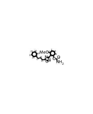 COc1cccc(OC(N)=O)c1-c1noc([CH]CCc2ccccc2)n1